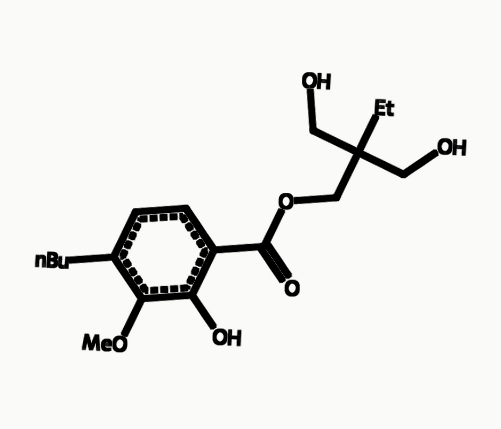 CCCCc1ccc(C(=O)OCC(CC)(CO)CO)c(O)c1OC